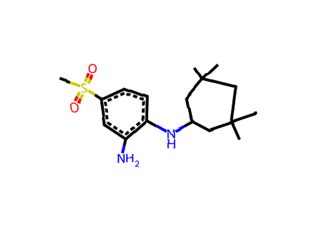 CC1(C)CC(Nc2ccc(S(C)(=O)=O)cc2N)CC(C)(C)C1